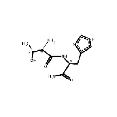 C[C@@H](O)[C@H](N)C(=O)N[C@@H](Cc1c[nH]cn1)C(N)=O